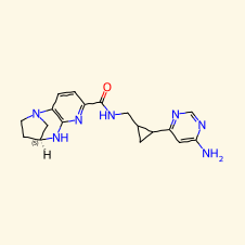 Nc1cc(C2CC2CNC(=O)c2ccc3c(n2)N[C@H]2CCN3C2)ncn1